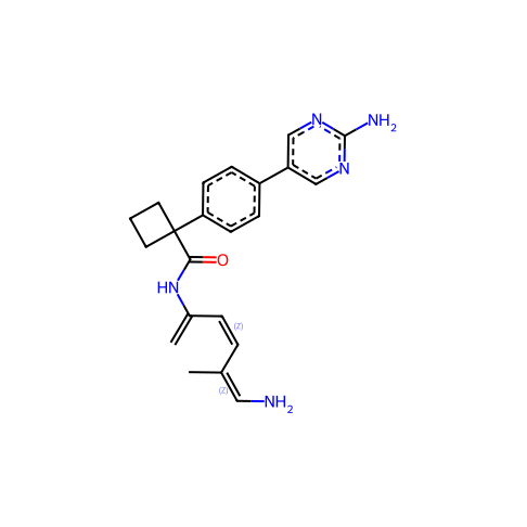 C=C(/C=C\C(C)=C/N)NC(=O)C1(c2ccc(-c3cnc(N)nc3)cc2)CCC1